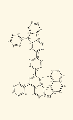 c1ccc(-c2cc(-c3ccc(-c4ccc5c6ccccc6n(-c6ccccc6)c5c4)cc3)nc3c2ccc2sc4ccc5ccccc5c4c23)cc1